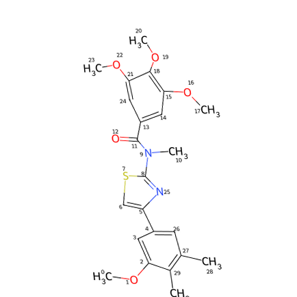 COc1cc(-c2csc(N(C)C(=O)c3cc(OC)c(OC)c(OC)c3)n2)cc(C)c1C